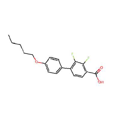 CCCCCOc1ccc(-c2ccc(C(=O)O)c(F)c2F)cc1